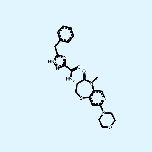 CN1C(=O)[C@@H](NC(=O)c2n[nH]c(Cc3ccccc3)n2)CSc2cc(N3CCOCC3)ncc21